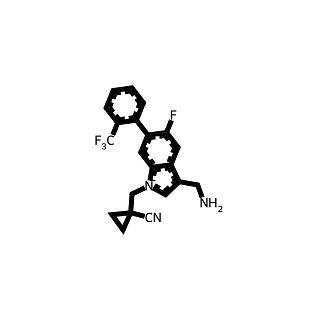 N#CC1(Cn2cc(CN)c3cc(F)c(-c4ccccc4C(F)(F)F)cc32)CC1